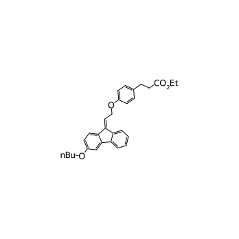 CCCCOc1ccc2c(c1)-c1ccccc1C2=CCOc1ccc(CCC(=O)OCC)cc1